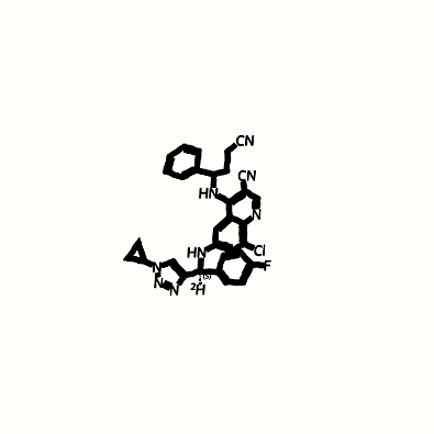 [2H][C@](Nc1cc(Cl)c2ncc(C#N)c(NC(CCC#N)c3ccccc3)c2c1)(c1ccc(F)cc1)c1cn(C2CC2)nn1